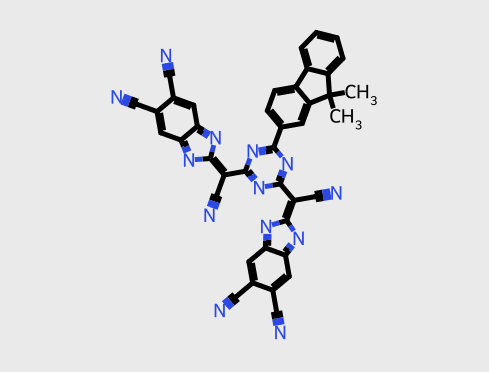 CC1(C)c2ccccc2-c2ccc(-c3nc(C(C#N)=C4N=c5cc(C#N)c(C#N)cc5=N4)nc(C(C#N)=C4N=c5cc(C#N)c(C#N)cc5=N4)n3)cc21